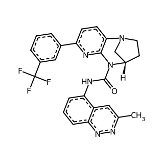 Cc1cc2c(NC(=O)N3c4nc(-c5cccc(C(F)(F)F)c5)ccc4N4CC[C@H]3C4)cccc2nn1